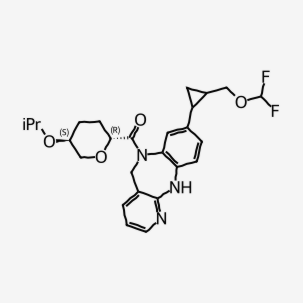 CC(C)O[C@H]1CC[C@H](C(=O)N2Cc3cccnc3Nc3ccc(C4CC4COC(F)F)cc32)OC1